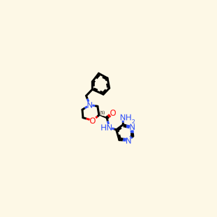 Nc1ncncc1NC(=O)[C@@H]1CN(Cc2ccccc2)CCO1